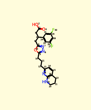 O=C(O)CC(Cc1nnc(CCCc2ccc3c(n2)NCCC3)o1)c1cc(F)cc(F)c1